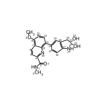 CNC(=O)c1ccc2c(OC)ncc(-c3ccc4c(c3)CS(O)(O)N4)c2n1